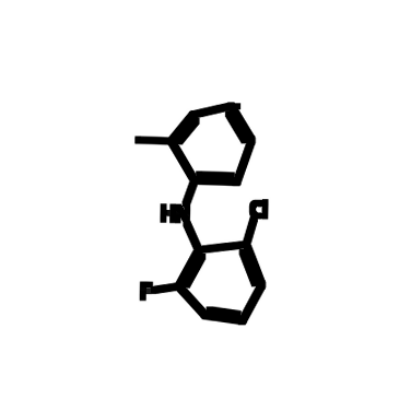 Cc1c[c]ccc1Nc1c(F)cccc1Cl